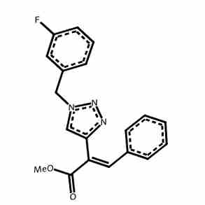 COC(=O)C(=Cc1ccccc1)c1cn(Cc2cccc(F)c2)nn1